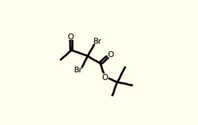 CC(=O)C(Br)(Br)C(=O)OC(C)(C)C